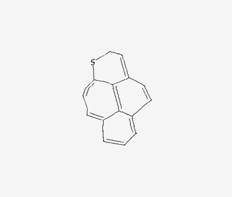 C1=c2ccc3cccc4ccc(c2c43)SC1